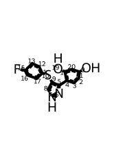 Oc1ccc(-c2n[nH]cc2Sc2ccc(F)cc2)c(O)c1